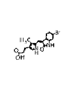 Cc1c(CCC(=O)O)c[nH]c1/C=C1\C(=O)Nc2cc(Br)ccc21